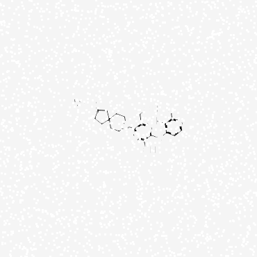 CO[C@@H]1CCC2(CCN(c3nc(C)c(Sc4ccnc(Cl)c4Cl)nc3CO)CC2)C1